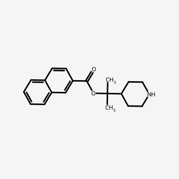 CC(C)(OC(=O)c1ccc2ccccc2c1)C1CCNCC1